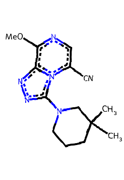 COc1ncc(C#N)n2c(N3CCCC(C)(C)C3)nnc12